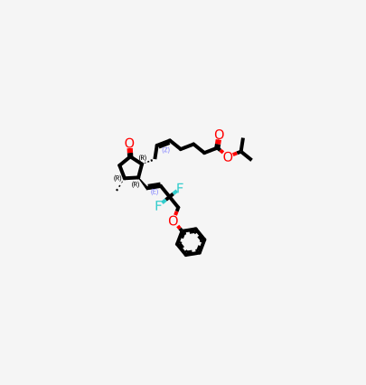 CC(C)OC(=O)CCC/C=C\C[C@H]1C(=O)C[C@@H](C)[C@@H]1/C=C/C(F)(F)COc1ccccc1